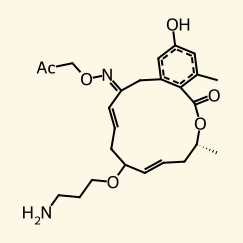 CC(=O)CO/N=C1\C=C\CC(OCCCN)/C=C/C[C@@H](C)OC(=O)c2c(C)cc(O)cc2C1